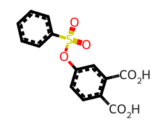 O=C(O)c1ccc(OS(=O)(=O)c2ccccc2)cc1C(=O)O